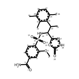 COc1cc(C(N)=O)ccc1S(=O)(=O)NC(c1n[nH]c(=O)o1)C(C)c1c(F)ccc(C)c1C